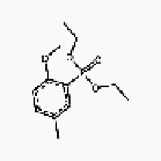 CCOP(=O)(OCC)c1cc(C)ccc1OC